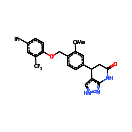 COc1cc(C2CC(=O)Nc3n[nH]cc32)ccc1COc1ccc(C(C)C)cc1C(F)(F)F